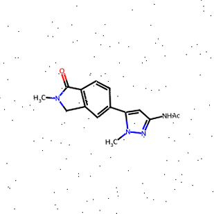 CC(=O)Nc1cc(-c2ccc3c(c2)CN(C)C3=O)n(C)n1